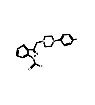 CC(=O)n1nc(CN2CCN(c3ccc(F)cc3)CC2)c2ccccc21